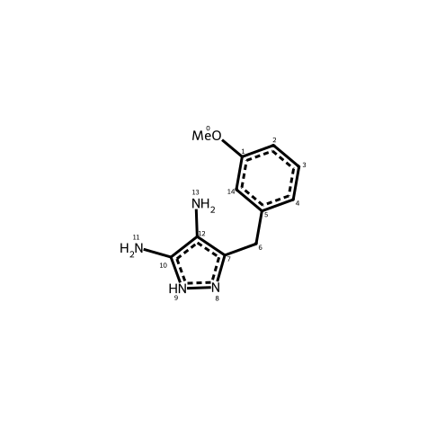 COc1cccc(Cc2n[nH]c(N)c2N)c1